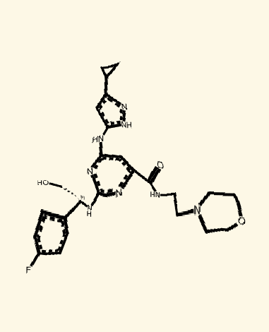 O=C(NCCN1CCOCC1)c1cc(Nc2cc(C3CC3)n[nH]2)nc(N[C@@H](CO)c2ccc(F)cc2)n1